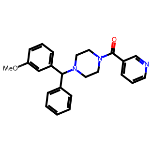 COc1cccc(C(c2ccccc2)N2CCN(C(=O)c3cccnc3)CC2)c1